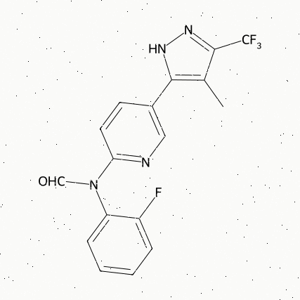 Cc1c(C(F)(F)F)n[nH]c1-c1ccc(N(C=O)c2ccccc2F)nc1